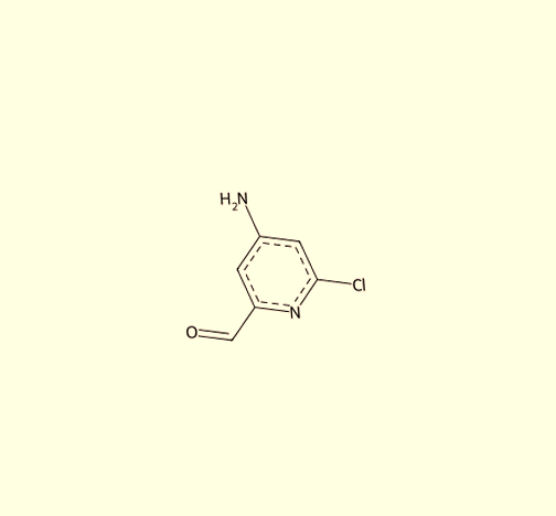 Nc1cc(Cl)nc(C=O)c1